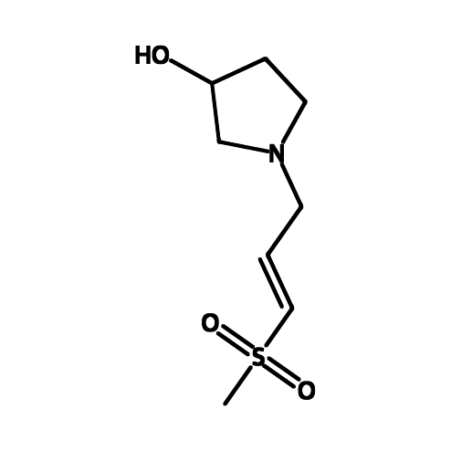 CS(=O)(=O)/C=C/CN1CCC(O)C1